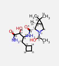 CB(O)N1CC2[C@@H]([C@H]1C(=O)NC(CC1CCC1)C(O)C(N)=O)C2(C)C